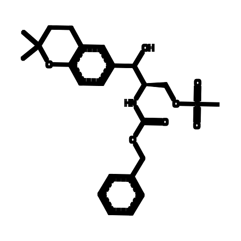 CC1(C)CCc2cc(C(O)[C@@H](COS(C)(=O)=O)NC(=O)OCc3ccccc3)ccc2O1